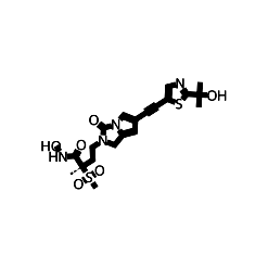 CC(C)(O)c1ncc(C#Cc2cc3n(c2)C(=O)N(CC[C@](C)(C(=O)NO)S(C)(=O)=O)C3)s1